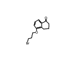 O=C1CCCc2c(OCCCBr)cccc21